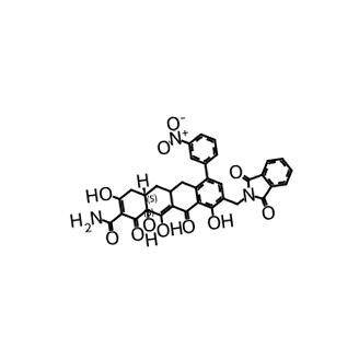 NC(=O)C1=C(O)C[C@@H]2CC3Cc4c(-c5cccc([N+](=O)[O-])c5)cc(CN5C(=O)c6ccccc6C5=O)c(O)c4C(=O)C3=C(O)[C@]2(O)C1=O